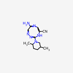 CC1CCC(C)N(c2nncc(N)ncc(C#N)[nH]2)C1